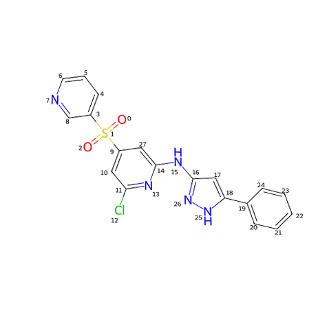 O=S(=O)(c1cccnc1)c1cc(Cl)nc(Nc2cc(-c3ccccc3)[nH]n2)c1